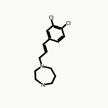 Clc1ccc(C=CCN2CCC[N]CC2)cc1Cl